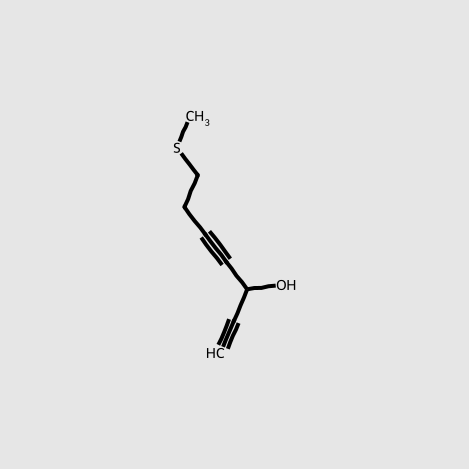 C#CC(O)C#CCCSC